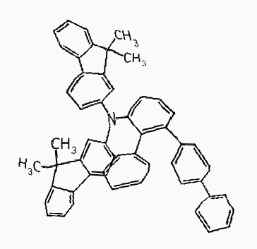 CC1(C)c2ccccc2-c2ccc(N(c3ccc4c(c3)C(C)(C)c3ccccc3-4)c3cccc(-c4ccc(-c5ccccc5)cc4)c3-c3ccccc3)cc21